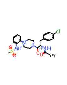 CC(C)C(=O)N[C@H](Cc1ccc(Cl)cc1)C(=O)N1CCN(c2ccccc2NS(C)(=O)=O)CC1